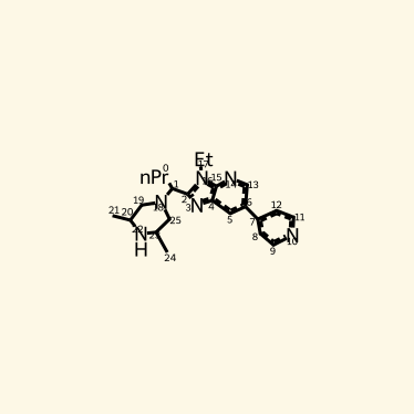 CCCC(c1nc2cc(-c3ccncc3)cnc2n1CC)N1CC(C)NC(C)C1